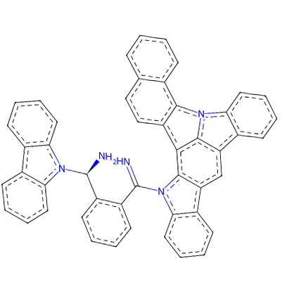 N=C(c1ccccc1[C@H](N)n1c2ccccc2c2ccccc21)n1c2ccccc2c2cc3c4ccccc4n4c5c6ccccc6ccc5c(c21)c34